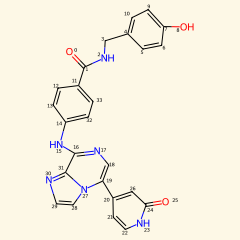 O=C(NCc1ccc(O)cc1)c1ccc(Nc2ncc(-c3cc[nH]c(=O)c3)n3ccnc23)cc1